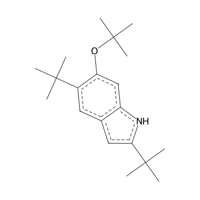 CC(C)(C)Oc1cc2[nH]c(C(C)(C)C)cc2cc1C(C)(C)C